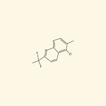 Cc1ccc2nc(C(C)(F)F)ccc2c1Cl